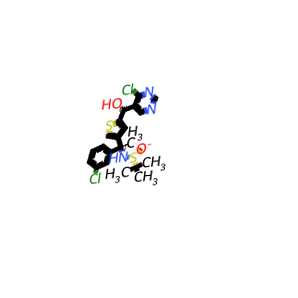 CC(C)(C)[S+]([O-])N[C@@](C)(c1cccc(Cl)c1)c1csc([C@H](O)c2cncnc2Cl)c1